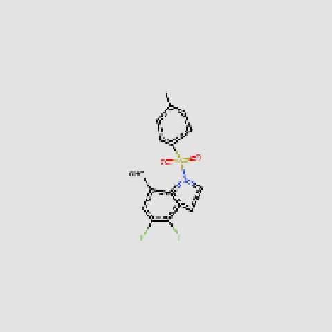 Cc1ccc(S(=O)(=O)n2ccc3c(F)c(F)cc(C=O)c32)cc1